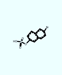 O=S(=O)(O)Oc1ccc2cc(Br)ccc2c1